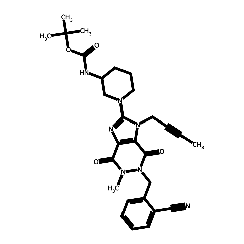 CC#CCn1c(N2CCCC(NC(=O)OC(C)(C)C)C2)nc2c(=O)n(C)n(Cc3ccccc3C#N)c(=O)c21